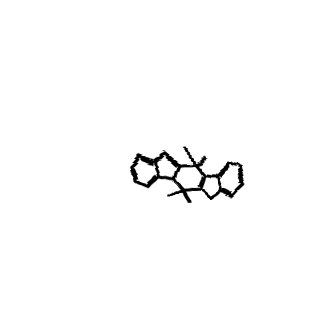 CC1(C)C2=Cc3ccccc3C2C(C)(C)C2=C1c1ccccc1C2